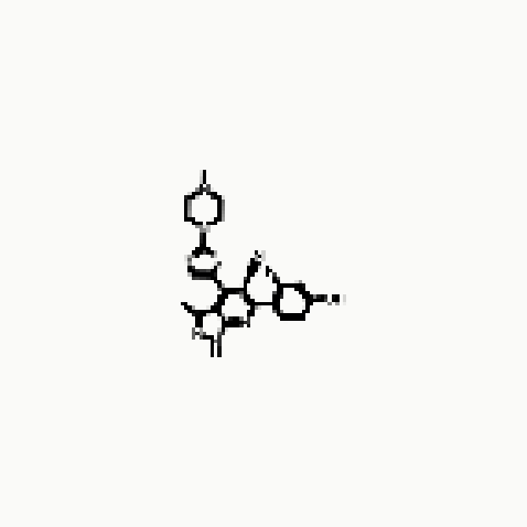 Cc1n[nH]c2nc(-c3ccc(O)cc3F)c(C#N)c(-c3cnc(N4CCN(C)CC4)s3)c12